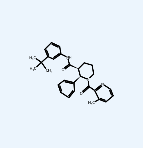 Cc1cccnc1C(=O)N1CCC[C@H](C(=O)Nc2cccc(C(C)(C)C)c2)[C@@H]1c1ccccc1